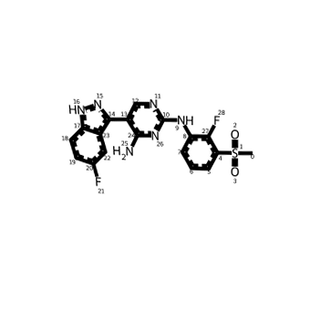 CS(=O)(=O)c1cccc(Nc2ncc(-c3n[nH]c4ccc(F)cc34)c(N)n2)c1F